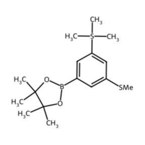 CSc1cc(B2OC(C)(C)C(C)(C)O2)cc(S(C)(C)C)c1